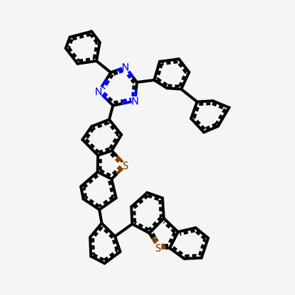 c1ccc(-c2cccc(-c3nc(-c4ccccc4)nc(-c4ccc5c(c4)sc4cc(-c6ccccc6-c6cccc7c6sc6ccccc67)ccc45)n3)c2)cc1